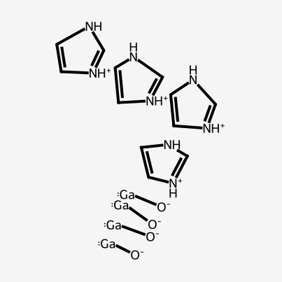 [O-][Ga].[O-][Ga].[O-][Ga].[O-][Ga].c1c[nH+]c[nH]1.c1c[nH+]c[nH]1.c1c[nH+]c[nH]1.c1c[nH+]c[nH]1